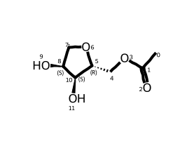 CC(=O)OC[C@H]1O[CH][C@H](O)[C@@H]1O